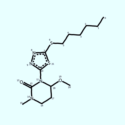 CCCCCCSc1nnc(N2C(=O)N(C)CCC2OC)s1